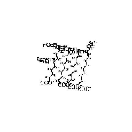 CCCCCCCC/C=C\CCCCCCCC(=O)[O-].CCCCCCCC/C=C\CCCCCCCC(=O)[O-].CCCCCCCC/C=C\CCCCCCCC(=O)[O-].CCCCCCCC/C=C\CCCCCCCC(=O)[O-].[O-2].[O-2].[O-2].[O-2].[Zr+4].[Zr+4].[Zr+4]